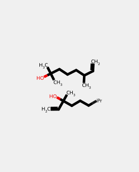 C=CC(C)(O)CCCC(C)C.C=CC(C)CCCC(C)(C)O